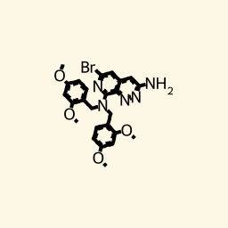 COc1ccc(CN(Cc2ccc(OC)cc2OC)c2nc(Br)cc3cc(N)nnc23)c(OC)c1